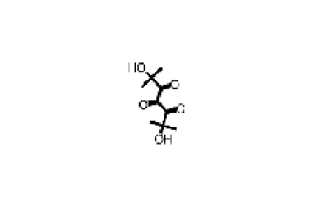 CC(C)(O)C(=O)C(=O)C(=O)C(C)(C)O